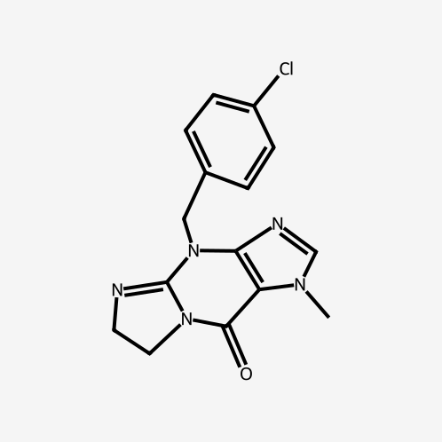 Cn1cnc2c1C(=O)N1CCN=C1N2Cc1ccc(Cl)cc1